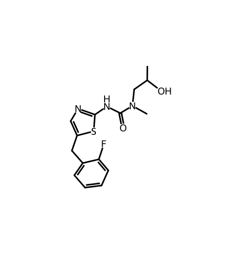 CC(O)CN(C)C(=O)Nc1ncc(Cc2ccccc2F)s1